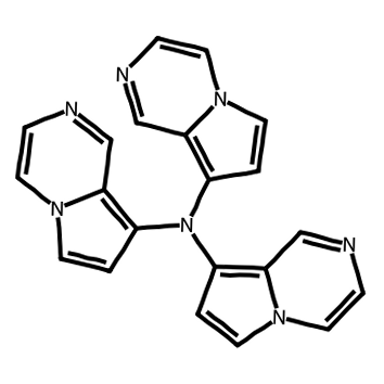 c1cn2ccc(N(c3ccn4ccncc34)c3ccn4ccncc34)c2cn1